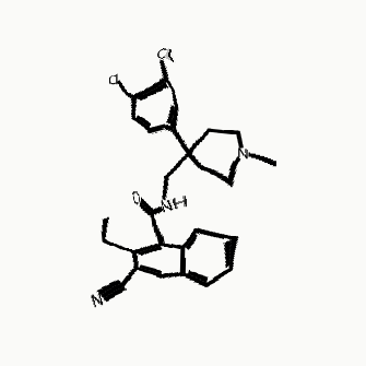 CCc1c(C#N)cc2ccccc2c1C(=O)NCC1(c2ccc(Cl)c(Cl)c2)CCN(C)CC1